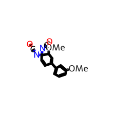 COc1cccc(C2=CC(OC)C(N=C=O)(N=C=O)C=C2)c1